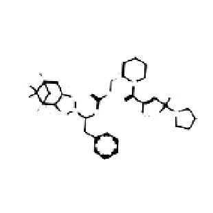 CC1(C)[C@@H]2C[C@H]3OB(C(Cc4ccccc4)NC(=O)OC[C@H]4CCCCN4C(=O)C(C#N)=CC(C)(C)N4CCCC4)O[C@@]3(C)[C@H]1C2